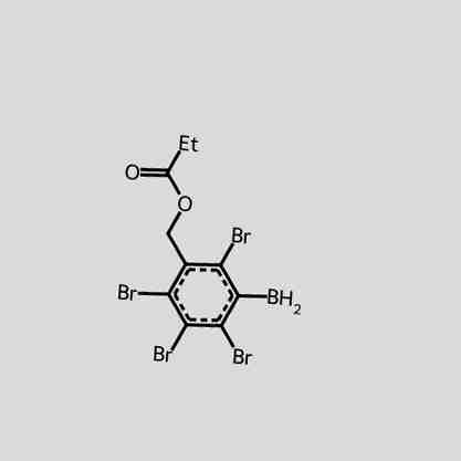 Bc1c(Br)c(Br)c(Br)c(COC(=O)CC)c1Br